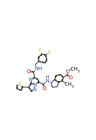 COC(=O)c1ccc2c(c1C)CC[C@@H]2NC(=O)c1cc(C(=O)NCc2ccc(F)c(F)c2)nc2c(-c3cccs3)cnn12